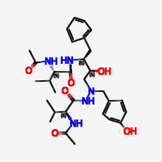 CC(=O)N[C@H](C(=O)N[C@@H](Cc1ccccc1)[C@@H](O)CN(Cc1ccc(O)cc1)NC(=O)[C@@H](NC(C)=O)C(C)C)C(C)C